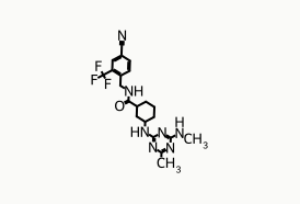 CNc1nc(C)nc(NC2CCCC(C(=O)NCc3ccc(C#N)cc3C(F)(F)F)C2)n1